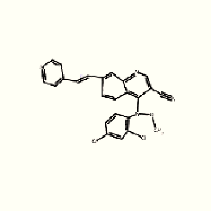 CON(c1ccc(Cl)cc1Cl)c1c(C#N)cnc2cc(/C=C/c3ccncc3)ccc12